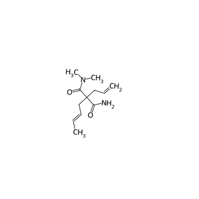 C=CCC(C/C=C/C)(C(N)=O)C(=O)N(C)C